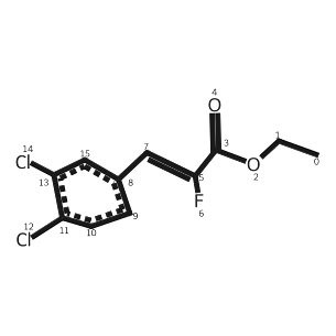 CCOC(=O)C(F)=Cc1ccc(Cl)c(Cl)c1